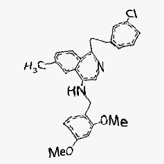 COc1ccc(CNc2cnc(Cc3cccc(Cl)c3)c3ccc(C)cc23)c(OC)c1